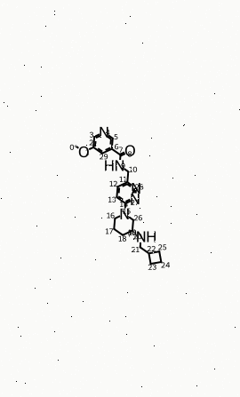 COc1cncc(C(=O)NCc2ccc(N3CCC[C@@H](NCC4CCC4)C3)nn2)c1